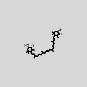 CC(C=C/C=C(C)/C=C/C1=C(C)C(=O)C(O)CC1(C)C)=C/C=C/C=C(\C)C=CC=C(C)/C=C/C1=C(C)C(=O)C(O)CC1(C)C